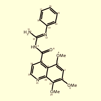 COc1cc(OC)c2c(C(=O)NC(N)=Nc3ccccc3)ccnc2c1OC